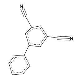 N#Cc1cc(C#N)cc(-c2ccccc2)c1